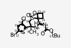 CC(C)(C)OC(=O)/N=C1\N[C@](C)(c2sc(Br)cc2Cl)CS(=O)(=O)C12CCC2